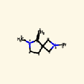 C=C1N(C)CCC12CN(C(C)C)C2